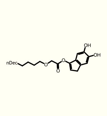 CCCCCCCCCCCCCCOCC(=O)OC1=CCc2cc(O)c(O)cc21